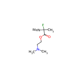 CNC(C)(F)C(=O)OCCN(C)C